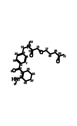 CNC1=C(C(=O)c2ccc(CN(C)C(=O)COCCCC(C)=O)cc2)CCCC1